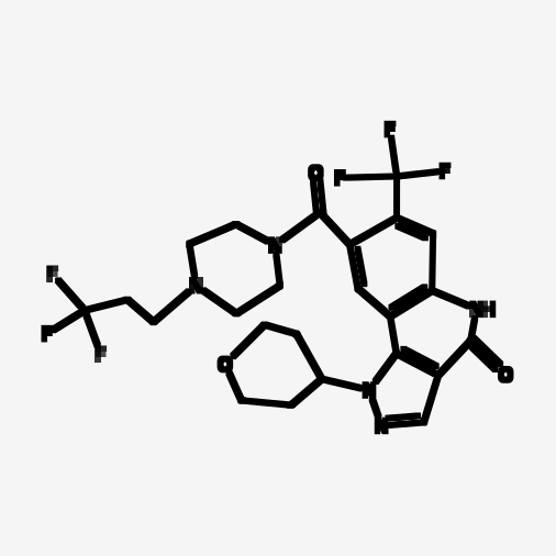 O=C(c1cc2c(cc1C(F)(F)F)[nH]c(=O)c1cnn(C3CCOCC3)c12)N1CCN(CCC(F)(F)F)CC1